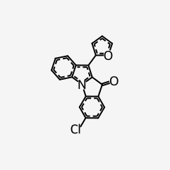 O=C1c2ccc(Cl)cc2-n2c1c(-c1ccco1)c1ccccc12